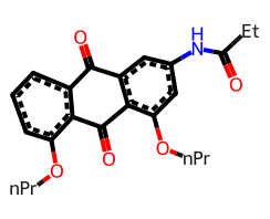 CCCOc1cccc2c1C(=O)c1c(OCCC)cc(NC(=O)CC)cc1C2=O